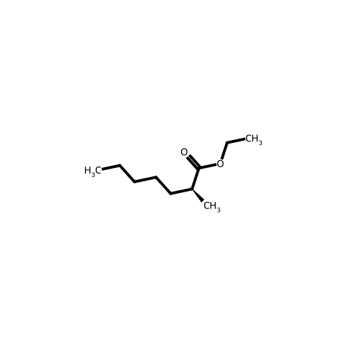 CCCCC[C@H](C)C(=O)OCC